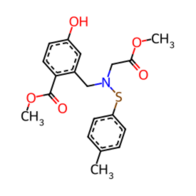 COC(=O)CN(Cc1cc(O)ccc1C(=O)OC)Sc1ccc(C)cc1